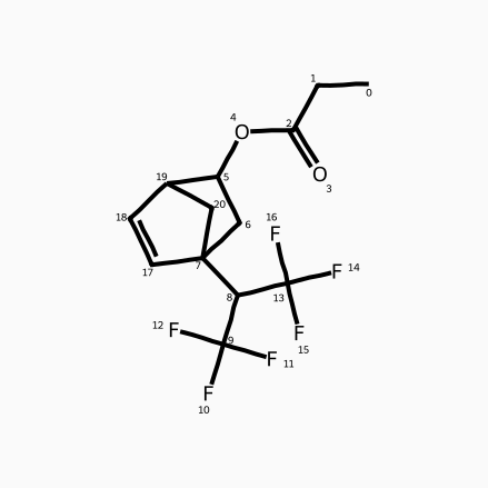 CCC(=O)OC1CC2(C(C(F)(F)F)C(F)(F)F)C=CC1C2